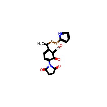 CC(SSc1ccccn1)C1=CC=C(N2C(=O)CCC2=O)C(=O)C1=C=O